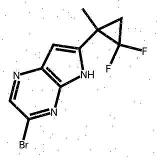 CC1(c2cc3ncc(Br)nc3[nH]2)CC1(F)F